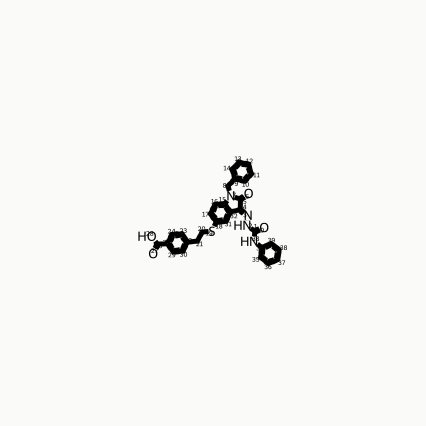 O=C(N/N=C1/C(=O)N(Cc2ccccc2)c2ccc(SCCc3ccc(C(=O)O)cc3)cc21)Nc1ccccc1